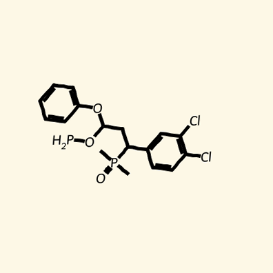 CP(C)(=O)C(CC(OP)Oc1ccccc1)c1ccc(Cl)c(Cl)c1